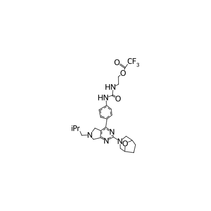 CC(C)CN1Cc2nc(N3CC4CCC(C3)O4)nc(-c3ccc(NC(=O)NCCOC(=O)C(F)(F)F)cc3)c2C1